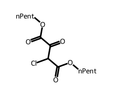 CCCCCOC(=O)C(=O)C(Cl)C(=O)OCCCCC